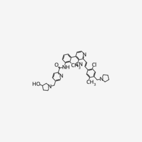 Cc1cc(/C=C/c2nccc(-c3cccc(NC(=O)c4ccc(CN5CC[C@@H](O)C5)cn4)c3C)c2C#N)c(Cl)cc1CN1CCCC1